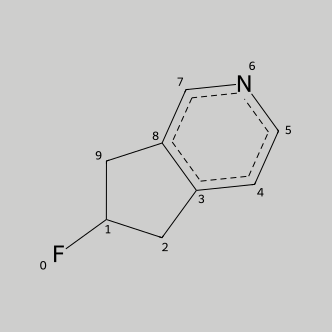 FC1Cc2ccncc2C1